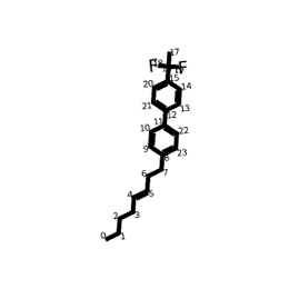 CCCCC=CCCc1ccc(-c2ccc(C(C)(F)F)cc2)cc1